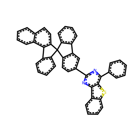 c1ccc(-c2nc(-c3ccc4c(c3)-c3ccccc3C43c4ccccc4-c4c3ccc3ccccc43)nc3c2sc2ccccc23)cc1